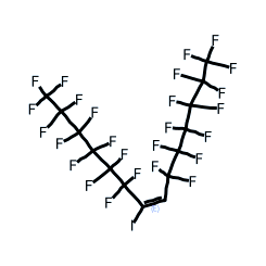 FC(F)(F)C(F)(F)C(F)(F)C(F)(F)C(F)(F)C(F)(F)/C=C(/I)C(F)(F)C(F)(F)C(F)(F)C(F)(F)C(F)(F)C(F)(F)F